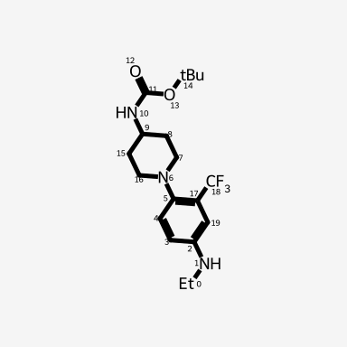 CCNc1ccc(N2CCC(NC(=O)OC(C)(C)C)CC2)c(C(F)(F)F)c1